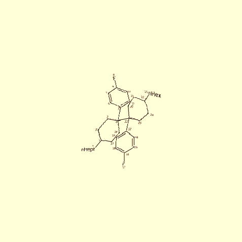 CCCCCCCC1CCC(c2ccc(F)cc2)(C2(c3ccc(F)cc3)CCC(CCCCCC)CC2)CC1